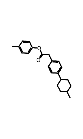 Cc1ccc(OC(=O)Cc2ccc(C3CCC(C)CC3)cc2)cc1